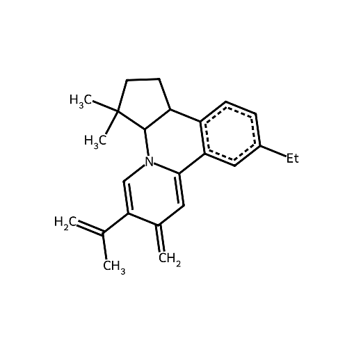 C=C(C)C1=CN2C(=CC1=C)c1cc(CC)ccc1C1CCC(C)(C)C12